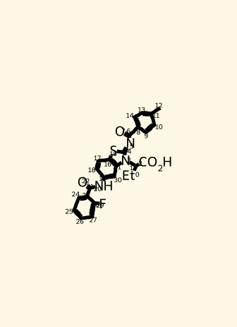 CCC(C(=O)O)n1/c(=N/C(=O)c2ccc(C)cc2)sc2ccc(NC(=O)c3ccccc3F)cc21